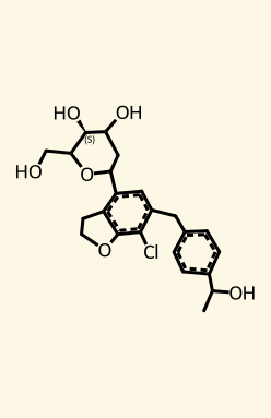 CC(O)c1ccc(Cc2cc(C3CC(O)[C@H](O)C(CO)O3)c3c(c2Cl)OCC3)cc1